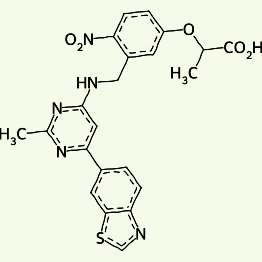 Cc1nc(NCc2cc(OC(C)C(=O)O)ccc2[N+](=O)[O-])cc(-c2ccc3ncsc3c2)n1